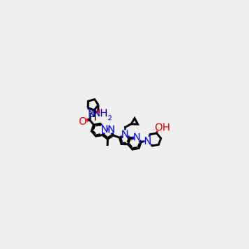 Cc1c(-c2cc3ccc(N4CCCC(O)C4)nc3n2CC2CC2)nn2cc(C(=O)N3CC4CCC3[C@@H]4N)ccc12